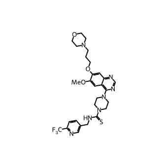 COc1cc2c(N3CCN(C(=S)NCc4ccc(C(F)(F)F)nc4)CC3)ncnc2cc1OCCCN1CCOCC1